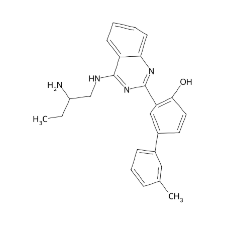 CCC(N)CNc1nc(-c2cc(-c3cccc(C)c3)ccc2O)nc2ccccc12